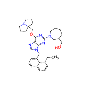 CCc1cccc2cccc(Cn3cnc4c(OCC56CCCN5CCC6)nc(N5CCCCC(CO)C5)nc43)c12